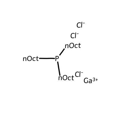 CCCCCCCCP(CCCCCCCC)CCCCCCCC.[Cl-].[Cl-].[Cl-].[Ga+3]